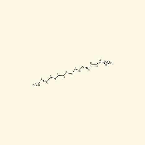 CCCC/C=C/CCCCCCCC/C=C/CCOOC